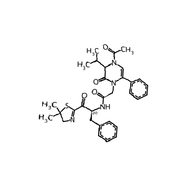 CC(=O)N1C=C(c2ccccc2)N(CC(=O)N[C@@H](Cc2ccccc2)C(=O)C2=NCC(C)(C)S2)C(=O)C1C(C)C